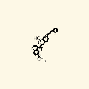 COc1ccc2nccc([C@@H](F)CC[C@@H]3CCN(CCCc4cccs4)C[C@@H]3C(=O)O)c2c1